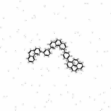 c1cc(-c2ccc3ccc4ccccc4c3n2)cc(-c2ccc3ccc4ccc(-c5ccc(-c6ccc7ccc8cccc9ccc6c7c89)cc5)nc4c3n2)c1